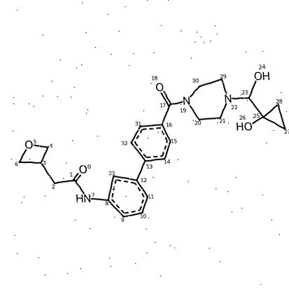 O=C(CC1COC1)Nc1cccc(-c2ccc(C(=O)N3CCN(C(O)C4(O)CC4)CC3)cc2)c1